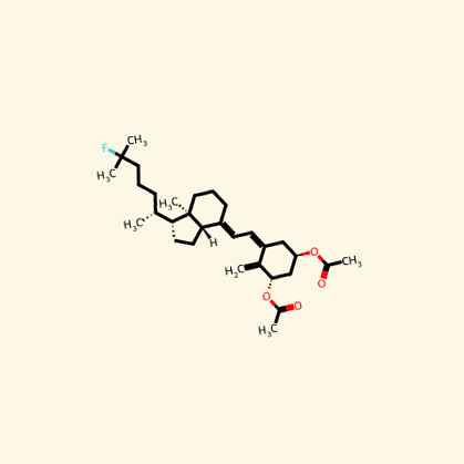 C=C1/C(=C\C=C2/CCC[C@]3(C)[C@@H]([C@H](C)CCCC(C)(C)F)CC[C@@H]23)C[C@@H](OC(C)=O)C[C@@H]1OC(C)=O